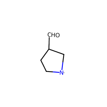 O=CC1CC[N]C1